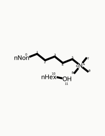 CCCCCCCCCCCCCC[N+](C)(C)C.CCCCCCO